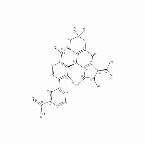 COc1ccc(-c2cccc(C(=O)O)n2)c(C)c1[C@H]1C2=C(CC(C)(C)CC2=O)OC2=C1C(=O)N(C)[C@@H]2C(C)C